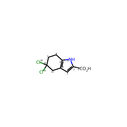 O=C(O)c1cc2c([nH]1)CCC(Cl)(Cl)C2